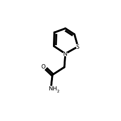 NC(=O)CN1C=CC=CS1